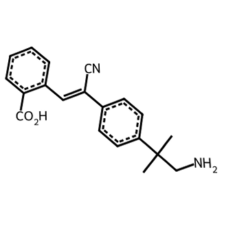 CC(C)(CN)c1ccc(/C(C#N)=C/c2ccccc2C(=O)O)cc1